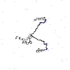 CCCCC/C=C\C/C=C\CCCCCCCCC1(CCCCCCCC/C=C\C/C=C\CCCCC)OC(C(=O)OCC)C(C2OC2OCC)O1